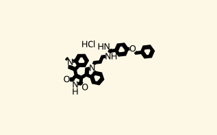 Cl.Cn1cc(C2=C(c3cn(CCCNC(=N)c4ccc(OCc5ccccc5)cc4)c4ccccc34)C(=O)NC2=O)c2ccccc21